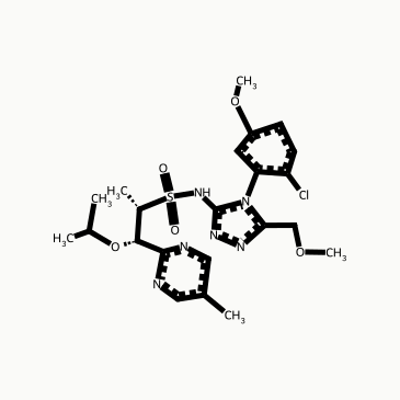 COCc1nnc(NS(=O)(=O)[C@@H](C)[C@@H](OC(C)C)c2ncc(C)cn2)n1-c1cc(OC)ccc1Cl